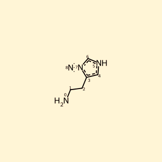 NCCc1c[nH]cn1.[N]